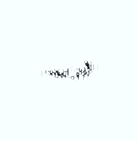 Cc1c(Oc2ccc(CCCC(=O)N3CCN(c4cccc5c(C6CCC(=O)NC6=O)nn(C)c45)CC3)cc2)cccc1-c1ccc(N2CCc3cccc(C(=O)Nc4nc5ccccc5s4)c3C2)nc1C(=O)OC(C)(C)C